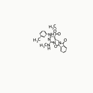 CCOC(=O)c1c(CN2C(=O)c3ccccc3C2=O)nc(NC)nc1Nc1cccc(C)c1